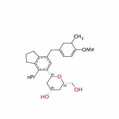 CCCc1c([C@H]2C[C@@H](O)C[C@@H](CO)O2)cc(CC2=CC=C(OC)C(C)C2)c2c1CCC2